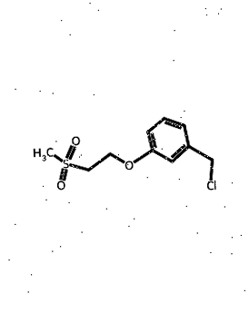 CS(=O)(=O)CCOc1cccc(CCl)c1